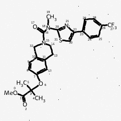 COC(=O)C(C)(C)Oc1ccc2c(c1)CCN(C(=O)N(C)c1nc(-c3ccc(C(F)(F)F)cc3)cs1)C2